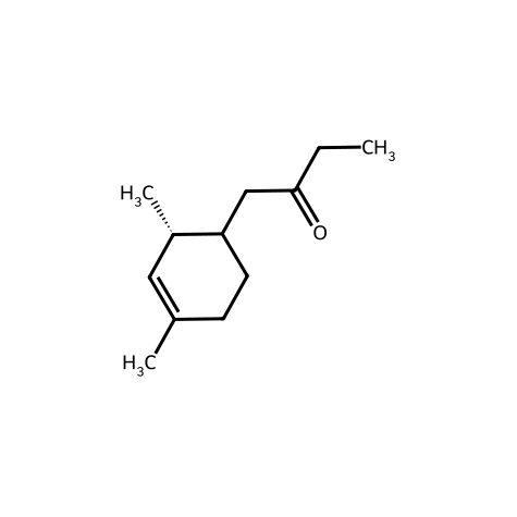 CCC(=O)CC1CCC(C)=C[C@@H]1C